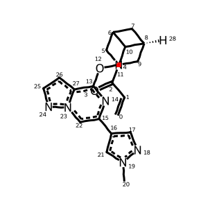 C=CC(=O)N1CC2C[C@@H](C1)C2COc1nc(-c2cnn(C)c2)cn2nccc12